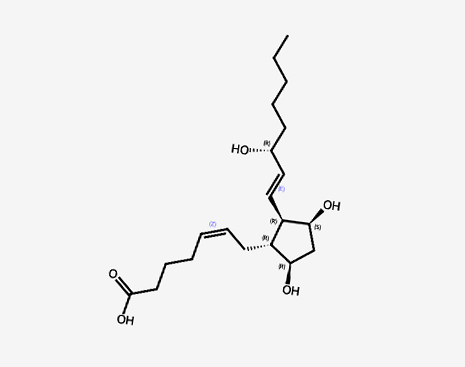 CCCCC[C@@H](O)/C=C/[C@@H]1[C@@H](C/C=C\CCCC(=O)O)[C@H](O)C[C@@H]1O